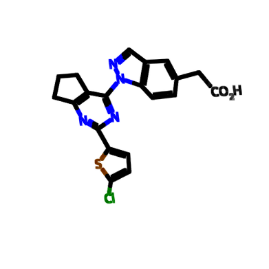 O=C(O)Cc1ccc2c(cnn2-c2nc(-c3ccc(Cl)s3)nc3c2CCC3)c1